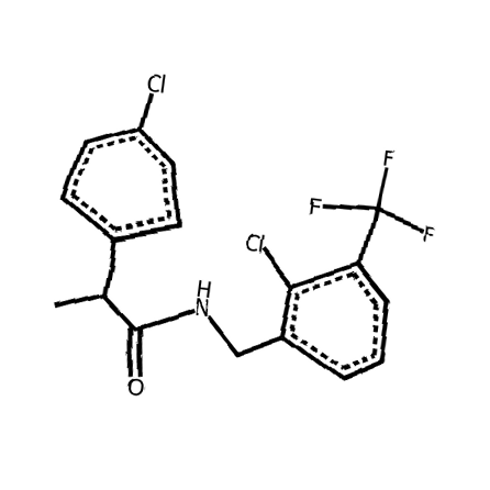 CC(C(=O)NCc1cccc(C(F)(F)F)c1Cl)c1ccc(Cl)cc1